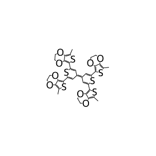 Cc1sc(C2=CC(=C3C=C(c4sc(C)c5c4OCCO5)SC(c4sc(C)c5c4OCCO5)=C3)C=C(c3sc(C)c4c3OCCO4)S2)c2c1OCCO2